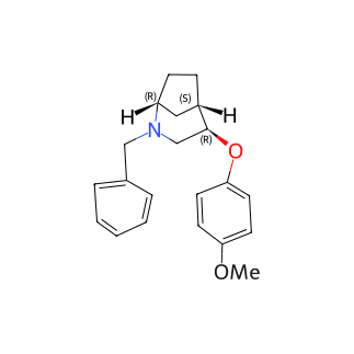 COc1ccc(O[C@H]2CN(Cc3ccccc3)[C@@H]3CC[C@H]2C3)cc1